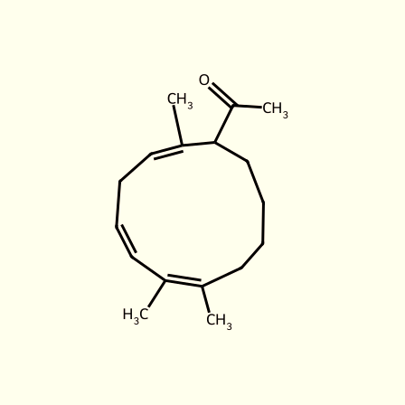 CC(=O)C1CCCCC(C)=C(C)C=CCC=C1C